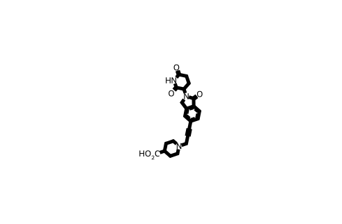 O=C1CCC(N2Cc3cc(C#CCN4CCC(C(=O)O)CC4)ccc3C2=O)C(=O)N1